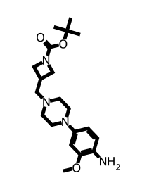 COc1cc(N2CCN(CC3CN(C(=O)OC(C)(C)C)C3)CC2)ccc1N